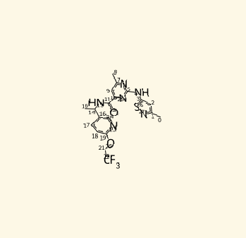 Cc1cc(Nc2nc(C)cc(C(=O)NC(C)c3ccc(OCC(F)(F)F)nc3)n2)sn1